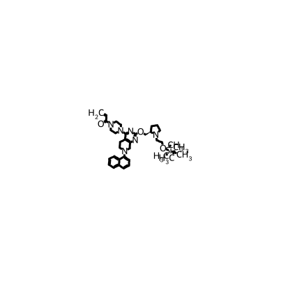 C=CC(=O)N1CCN(c2nc(OC[C@H]3CCCN3CCO[Si](C)(C)C(C)(C)C)nc3c2CCN(c2cccc4ccccc24)C3)CC1